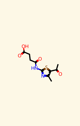 CC(=O)c1sc(NC(=O)CCC(=O)O)nc1C